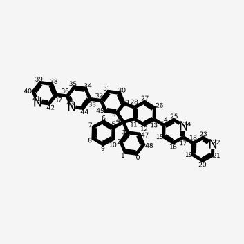 c1ccc(C2(c3ccccc3)c3cc(-c4ccc(-c5cccnc5)nc4)ccc3-c3ccc(-c4ccc(-c5cccnc5)nc4)cc32)cc1